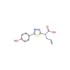 C=CCC(C(=O)O)c1cnc(-c2ccc(O)cc2)s1